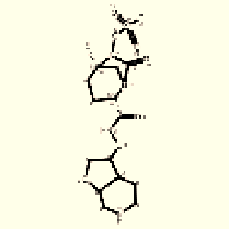 O=C(NOC1COC2CNCCC21)[C@@H]1CC[C@@H]2CN1C(=O)N2OS(=O)(=O)O